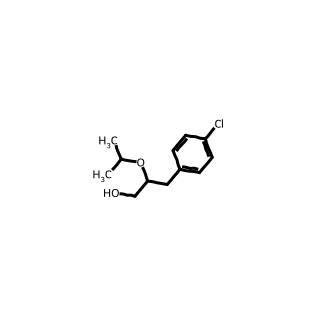 CC(C)OC(CO)Cc1ccc(Cl)cc1